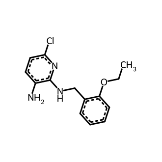 CCOc1ccccc1CNc1nc(Cl)ccc1N